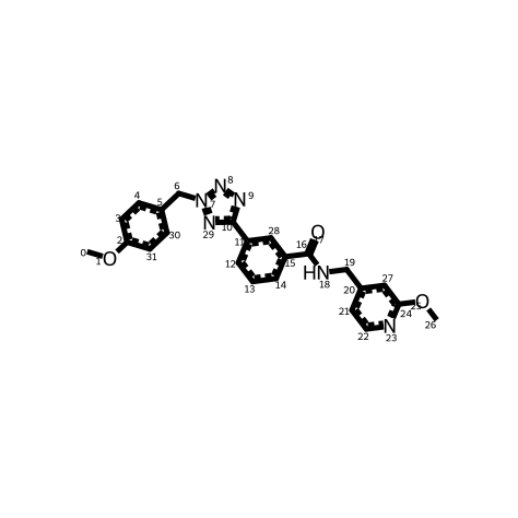 COc1ccc(Cn2nnc(-c3cccc(C(=O)NCc4ccnc(OC)c4)c3)n2)cc1